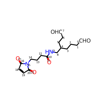 O=CCCCC(CCC=O)CNC(=O)CCCN1C(=O)C=CC1=O